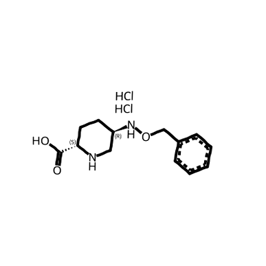 Cl.Cl.O=C(O)[C@@H]1CC[C@@H](NOCc2ccccc2)CN1